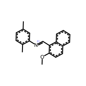 COc1ccc2ccccc2c1/C=N/c1cc(C)ccc1C